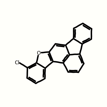 Clc1cccc2c1oc1cc3c4c(cccc4c12)-c1ccccc1-3